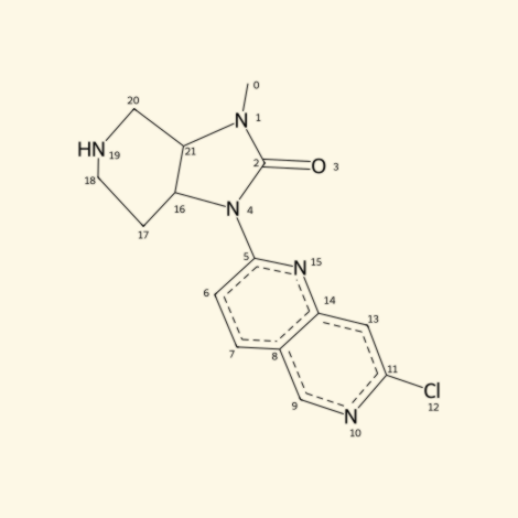 CN1C(=O)N(c2ccc3cnc(Cl)cc3n2)C2CCNCC21